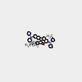 Cc1cccc(N(c2ccccc2)c2ccc3c4c(ccc3c2)-c2cc3ccc(N(c5ccccc5)c5cccc([Si](C)(C)C)c5)cc3cc2C42c3ccccc3-c3ccccc32)c1